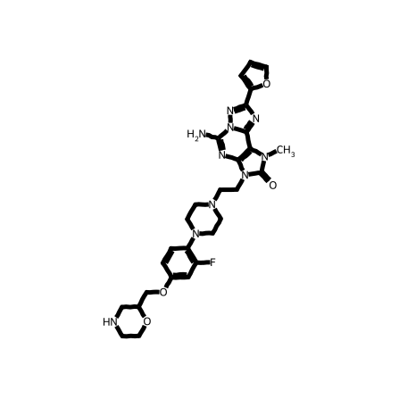 Cn1c(=O)n(CCN2CCN(c3ccc(OCC4CNCCO4)cc3F)CC2)c2nc(N)n3nc(-c4ccco4)nc3c21